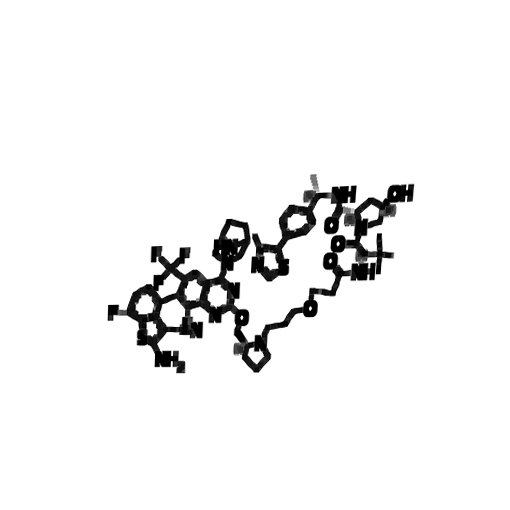 Cc1ncsc1-c1ccc([C@H](C)NC(=O)[C@@H]2C[C@@H](O)CN2C(=O)[C@@H](NC(=O)CCOCCCN2CCC[C@H]2COc2nc(N3CC4CCC(C3)N4)c3cc(C(F)(F)F)c(-c4ccc(F)c5sc(N)c(C#N)c45)c(F)c3n2)C(C)(C)C)cc1